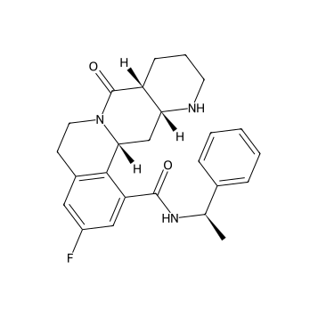 C[C@@H](NC(=O)c1cc(F)cc2c1[C@H]1C[C@H]3NCCC[C@H]3C(=O)N1CC2)c1ccccc1